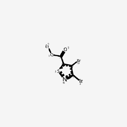 CCOC(=O)c1snc(Br)c1Br